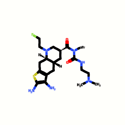 CCCN(C(=O)NCCN(C)C)C(=O)[C@@H]1C[C@@H]2Cc3c(sc(N)c3N)C[C@H]2N(CCF)C1